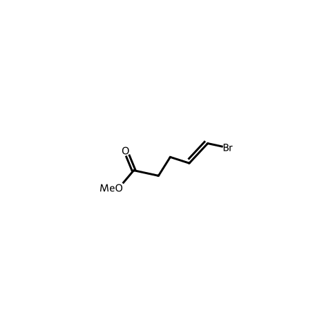 COC(=O)CCC=CBr